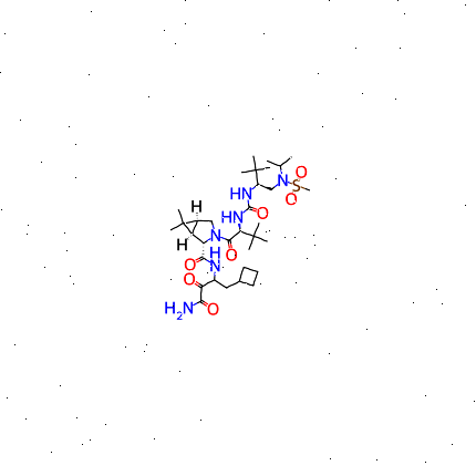 CC(C)N(C[C@@H](NC(=O)N[C@H](C(=O)N1C[C@H]2[C@@H]([C@H]1C(=O)NC(CC1CCC1)C(=O)C(N)=O)C2(C)C)C(C)(C)C)C(C)(C)C)S(C)(=O)=O